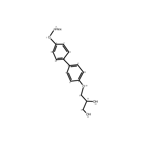 CCCCCCOc1ccc(-c2ccc(OCC(O)CO)cc2)cc1